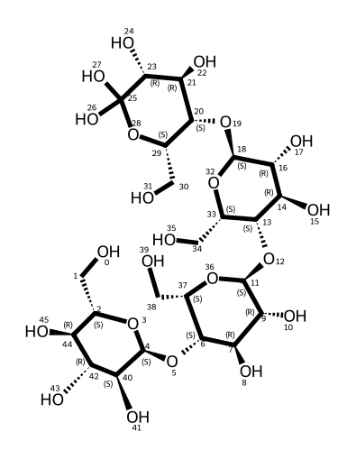 OC[C@@H]1O[C@@H](O[C@H]2[C@H](O)[C@@H](O)[C@H](O[C@H]3[C@H](O)[C@@H](O)[C@H](O[C@H]4[C@H](O)[C@@H](O)C(O)(O)O[C@H]4CO)O[C@H]3CO)O[C@H]2CO)[C@@H](O)[C@H](O)[C@H]1O